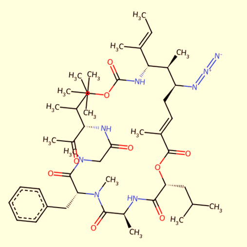 C/C=C(\C)[C@@H](NC(=O)OC(C)(C)C)[C@@H](C)[C@H](C/C=C(\C)C(=O)O[C@H](CC(C)C)C(=O)N[C@@H](C)C(=O)N(C)[C@H](Cc1ccccc1)C(=O)N(C)CC(=O)N[C@H](C(C)=O)C(C)CC)N=[N+]=[N-]